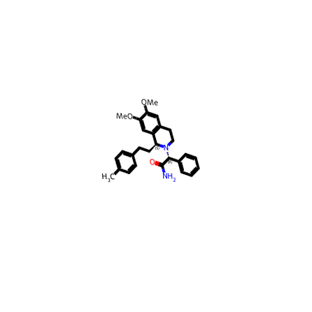 COc1cc2c(cc1OC)[C@H](CCc1ccc(C)cc1)N([C@@H](C(N)=O)c1ccccc1)CC2